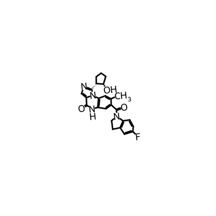 Cc1cc2c(cc1C(=O)N1CCc3cc(F)ccc31)[nH]c(=O)c1cnc([C@@H]3CCC[C@H]3O)n12